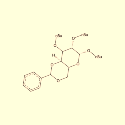 CCCCOC1[C@@H]2OC(c3ccccc3)OCC2O[C@@H](OCCCC)[C@H]1OCCCC